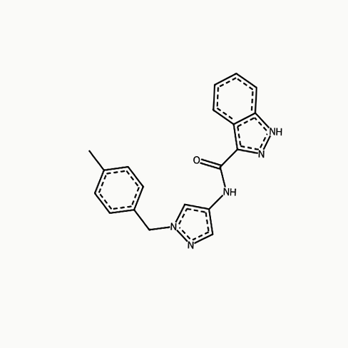 Cc1ccc(Cn2cc(NC(=O)c3n[nH]c4ccccc34)cn2)cc1